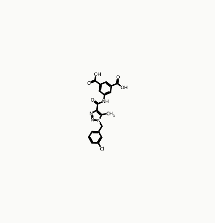 Cc1c(C(=O)Nc2cc(C(=O)O)cc(C(=O)O)c2)nnn1Cc1cccc(Cl)c1